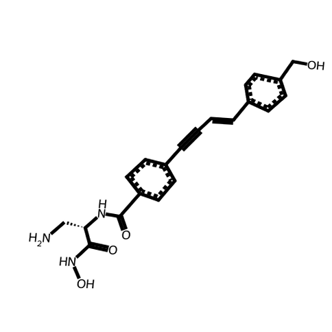 NC[C@H](NC(=O)c1ccc(C#C/C=C/c2ccc(CO)cc2)cc1)C(=O)NO